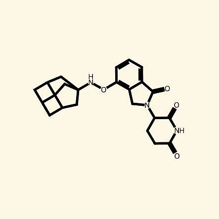 O=C1CCC(N2Cc3c(ONC45CC6CC7CC(C4)C76C5)cccc3C2=O)C(=O)N1